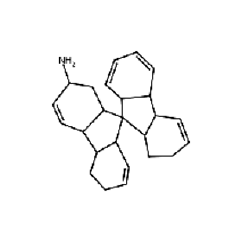 NC1C=CC2C3CCC=CC3C3(C4C=CC=CC4C4C=CCCC43)C2C1